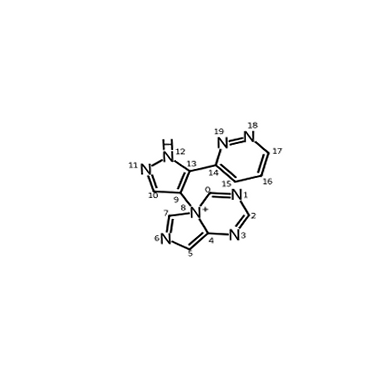 C1=NC=NC2=CN=C[N+]12c1cn[nH]c1-c1cccnn1